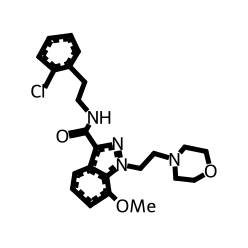 COc1cccc2c(C(=O)NCCc3ccccc3Cl)nn(CCN3CCOCC3)c12